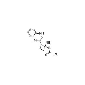 CC(=O)OC1(N)CCC1C1CNc2ccncc2N1